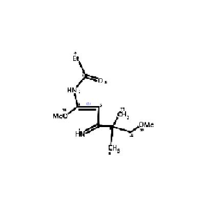 CCC(=O)N/C(=C/C(=N)C(C)(C)COC)OC